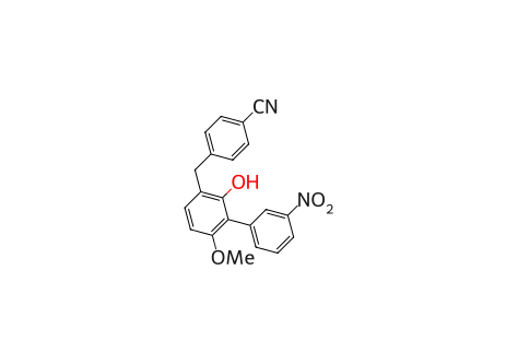 COc1ccc(Cc2ccc(C#N)cc2)c(O)c1-c1cccc([N+](=O)[O-])c1